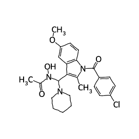 COc1ccc2c(c1)c(C(N1CCCCC1)N(O)C(C)=O)c(C)n2C(=O)c1ccc(Cl)cc1